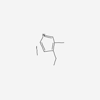 CCc1ccncc1C.CI